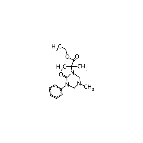 CCOC(=O)C(C)(C)N1CN(C)CN(c2ccccc2)C1=O